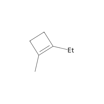 CCC1=C(C)CC1